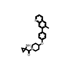 Cc1cc2cccnc2cc1-c1ccc(OC2CCN(C(=O)C3(N)CC3)CC2)cc1